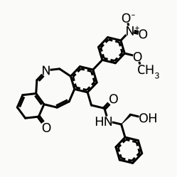 COc1cc(-c2cc3c(c(CC(=O)N[C@@H](CO)c4ccccc4)c2)C=CC2=C(C=CCC2=O)C=NC3)ccc1[N+](=O)[O-]